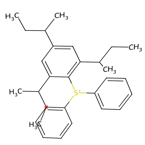 CCC(C)c1cc(C(C)CC)c([S+](c2ccccc2)c2ccccc2)c(C(C)CC)c1